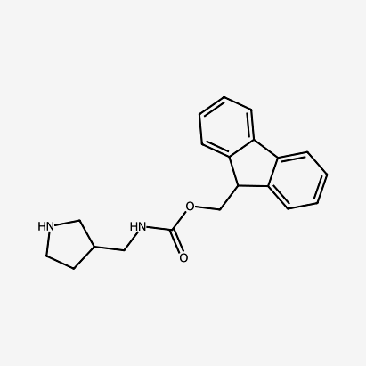 O=C(NCC1CCNC1)OCC1c2ccccc2-c2ccccc21